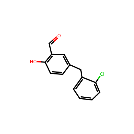 O=Cc1cc(Cc2ccccc2Cl)ccc1O